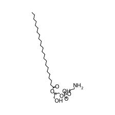 CCCCCCCCCCCCCCCCCCCCCCCC(=O)O[C@H](CO)COP(=O)(O)OCCN